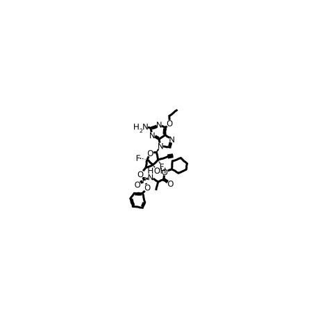 C#C[C@]1(F)[C@H](n2cnc3c(OCC)nc(N)nc32)O[C@]2(F)C(OP(=O)(NC(C)C(=O)OC3CCCCC3)Oc3ccccc3)[C@@]21O